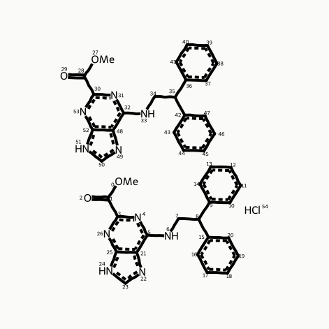 COC(=O)c1nc(NCC(c2ccccc2)c2ccccc2)c2nc[nH]c2n1.COC(=O)c1nc(NCC(c2ccccc2)c2ccccc2)c2nc[nH]c2n1.Cl